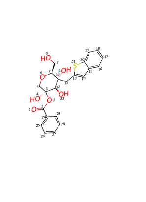 O=C(O[C@@]1(O)CO[C@@H](CO)[C@@](O)(Cc2cc3ccccc3s2)[C@H]1O)c1ccccc1